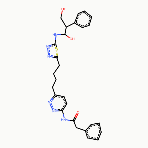 O=C(Cc1ccccc1)Nc1ccc(CCCCc2nnc(NC(O)C(CO)c3ccccc3)s2)nn1